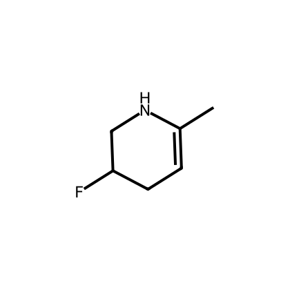 CC1=CCC(F)CN1